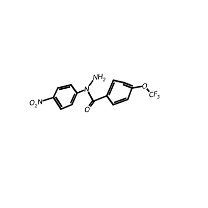 NN(C(=O)c1ccc(OC(F)(F)F)cc1)c1ccc([N+](=O)[O-])cc1